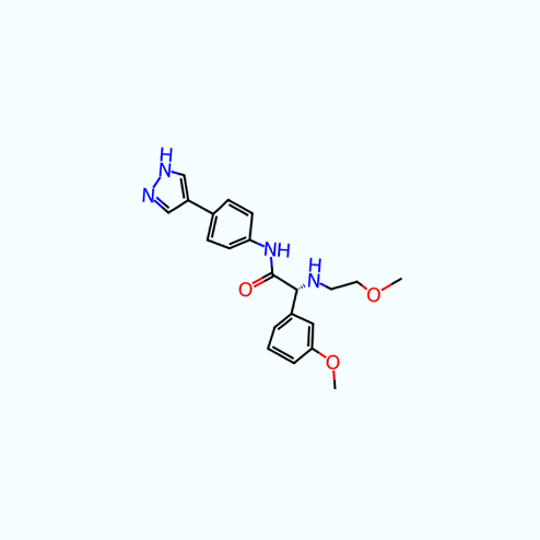 COCCN[C@@H](C(=O)Nc1ccc(-c2cn[nH]c2)cc1)c1cccc(OC)c1